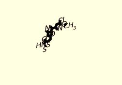 COc1ncc(-c2cncc3cc(/C=C4/SC(=S)NC4=O)oc23)cc1Cl